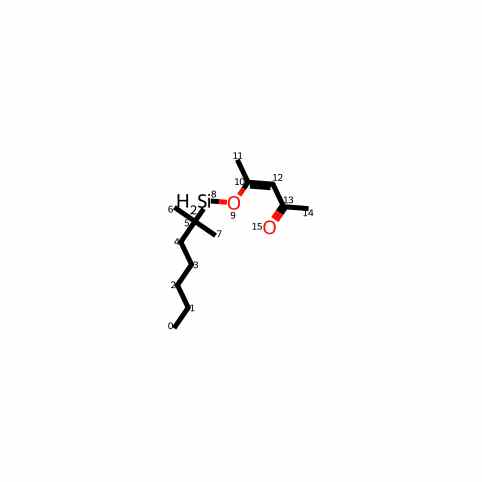 CCCCCC(C)(C)[SiH2]O/C(C)=C\C(C)=O